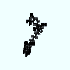 CC1(C)C(=N)N(c2ccc(C#N)c(C(F)(F)F)c2)C(=S)N1CCCCCCNC(=O)C(F)(F)C(F)(F)C(F)(F)F